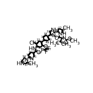 COC(=O)NC(C(=O)N1C[C@@H](C)C[C@H]1c1nc(-c2ccc(-c3cc(Cl)c(NC(=O)c4ccc(N5CCNC[C@H]5C)nc4)cc3OC(F)(F)F)cc2)c[nH]1)C(C)C